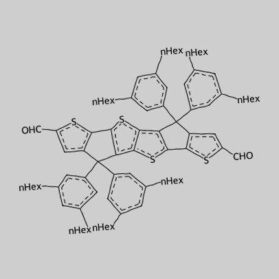 CCCCCCc1cc(CCCCCC)cc(C2(c3cc(CCCCCC)cc(CCCCCC)c3)c3cc(C=O)sc3-c3sc4c5c(sc4c32)-c2sc(C=O)cc2C5(c2cc(CCCCCC)cc(CCCCCC)c2)c2cc(CCCCCC)cc(CCCCCC)c2)c1